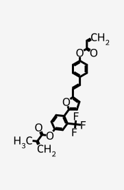 C=CC(=O)Oc1ccc(/C=C/c2ccc(-c3ccc(OC(=O)C(=C)C)cc3C(F)(F)F)o2)cc1